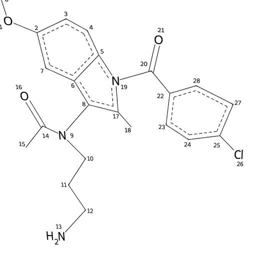 COc1ccc2c(c1)c(N(CCCN)C(C)=O)c(C)n2C(=O)c1ccc(Cl)cc1